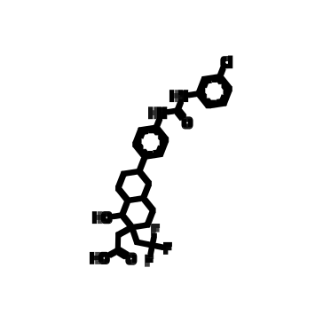 O=C(O)CC1(CC(F)(F)F)CCC2CC(c3ccc(NC(=O)Nc4cccc(Cl)c4)cc3)CCC2C1O